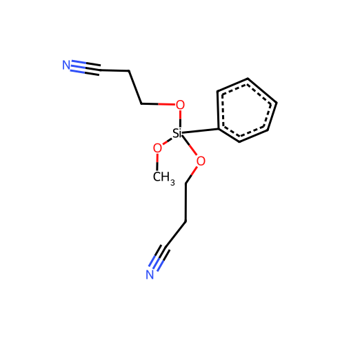 CO[Si](OCCC#N)(OCCC#N)c1ccccc1